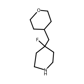 FC1(CC2CCOCC2)CCNCC1